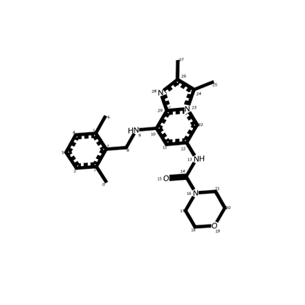 Cc1cccc(C)c1CNc1cc(NC(=O)N2CCOCC2)cn2c(C)c(C)nc12